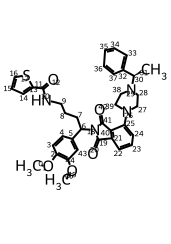 COc1ccc(C(CCCNC(=O)c2cccs2)N2C(=O)c3cccc(N4CCN([C@H](C)c5ccccc5)CC4)c3C2=O)cc1OC